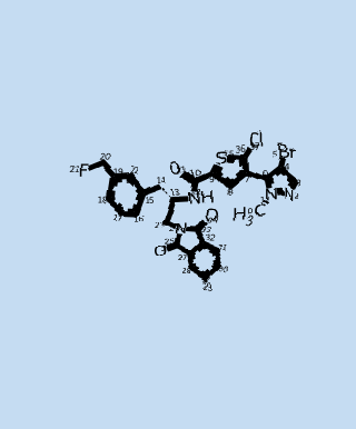 Cn1ncc(Br)c1-c1cc(C(=O)N[C@@H](Cc2cccc(CF)c2)CN2C(=O)c3ccccc3C2=O)sc1Cl